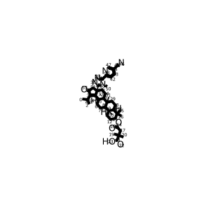 CC(C)C1=C2[C@H]3CC[C@@H]4[C@@]5(C)CC[C@H](OC(=O)CC(C)(C)C(=O)O)C(C)(C)[C@@H]5CC[C@@]4(C)[C@]3(C)CC[C@@]2(c2nnc(-c3ccc(C#N)cn3)n2C)CC1=O